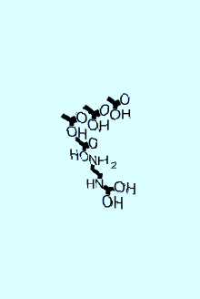 CC(=O)O.CC(=O)O.CC(=O)O.CC(=O)O.NCCNC(O)O